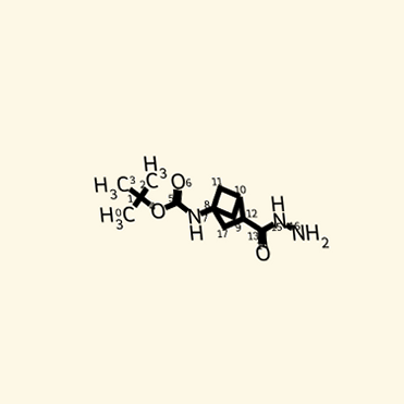 CC(C)(C)OC(=O)NC12CC(C1)C(C(=O)NN)C2